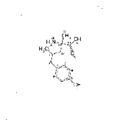 CC(Cc1ccc(O)cc1)CC(C)(N)C(=O)O